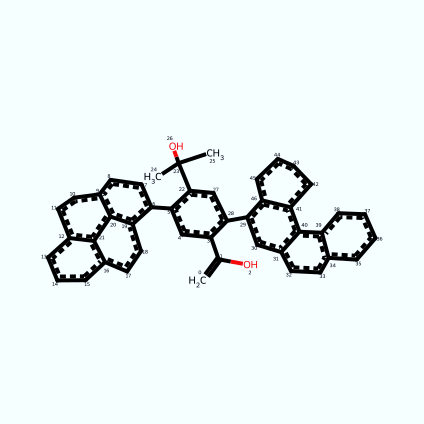 C=C(O)c1cc(-c2ccc3ccc4cccc5ccc2c3c45)c(C(C)(C)O)cc1-c1cc2ccc3ccccc3c2c2ccccc12